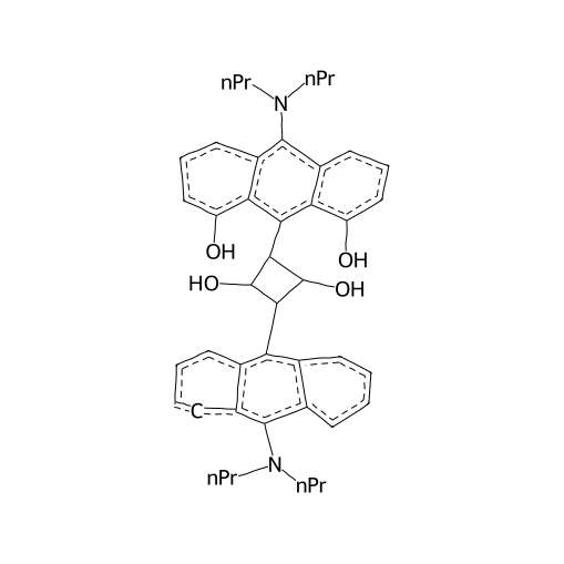 CCCN(CCC)c1c2ccccc2c(C2C(O)C(c3c4c(O)cccc4c(N(CCC)CCC)c4cccc(O)c34)C2O)c2ccccc12